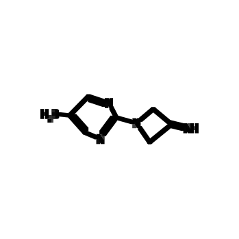 Bc1cnc(N2CC(=N)C2)nc1